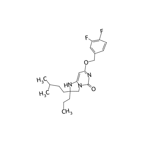 CCCC1(CCC(C)C)Cn2c(cc(OCc3ccc(F)c(F)c3)nc2=O)N1